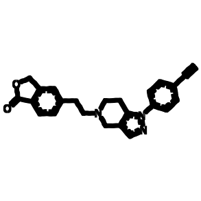 C#Cc1ccc(-n2ncc3c2CCN(CCc2ccc4c(c2)COC4=O)C3)cc1